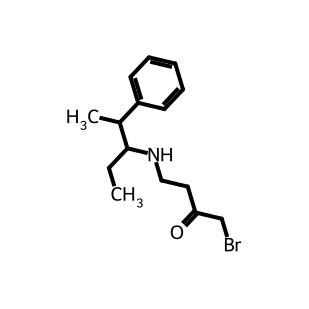 CCC(NCCC(=O)CBr)C(C)c1ccccc1